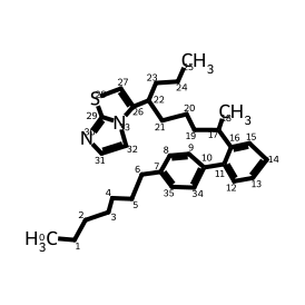 CCCCCCCc1ccc(-c2ccccc2C(C)CCCC(CCC)c2csc3nccn23)cc1